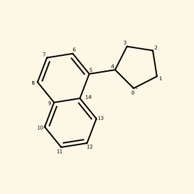 [CH]1CCCC1c1cccc2ccccc12